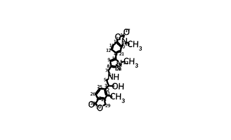 Cc1c(C(O)CNCc2cc(-c3ccc4oc(=O)n(C)c4c3)n(C)n2)ccc2c1COC2=O